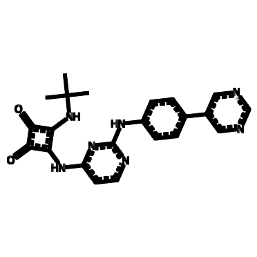 CC(C)(C)Nc1c(Nc2ccnc(Nc3ccc(-c4cncnc4)cc3)n2)c(=O)c1=O